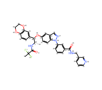 C[C@H](NC(=O)C(C)(F)F)[C@H](Oc1ccc2c(cnn2-c2cccc(C(=O)NCc3cccnc3)c2)c1)c1ccc2c(c1)OCCO2